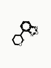 [C]1OCCCC1c1cccc2nonc12